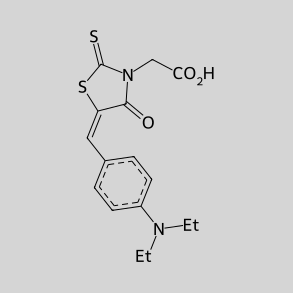 CCN(CC)c1ccc(C=C2SC(=S)N(CC(=O)O)C2=O)cc1